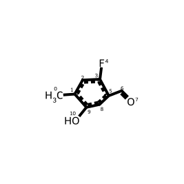 Cc1cc(F)c(C=O)cc1O